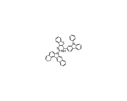 C1=Cc2ccc3c(c2CC1)c1cc2ccccc2cc1n3C1=Nc2c(sc3ccccc23)C(c2ccc3c4ccccc4n(-c4ccccc4)c3c2)N1